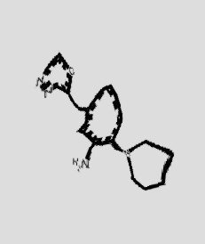 Nc1cc(-c2nnco2)ccc1N1CCCCC1